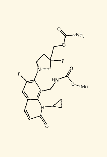 CC(C)(C)OC(=O)NCc1c(N2CCC(F)(COC(N)=O)C2)c(F)cc2ccc(=O)n(C3CC3)c12